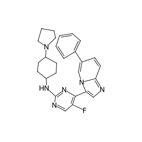 Fc1cnc(NC2CCC(N3CCCC3)CC2)nc1-c1cnc2ccc(-c3ccccc3)cn12